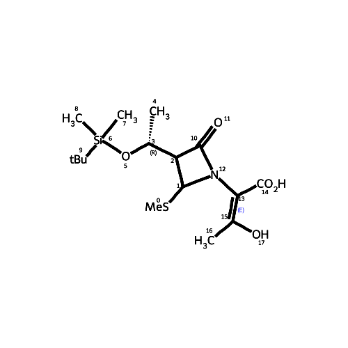 CSC1C([C@@H](C)O[Si](C)(C)C(C)(C)C)C(=O)N1/C(C(=O)O)=C(\C)O